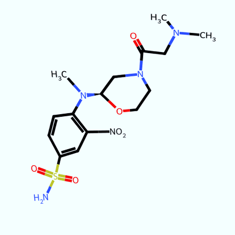 CN(C)CC(=O)N1CCO[C@@H](N(C)c2ccc(S(N)(=O)=O)cc2[N+](=O)[O-])C1